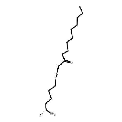 CCCCCCCCCC(=O)CCCCCCC[C@@H](C)N